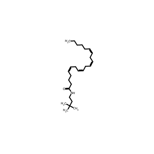 CCCCC/C=C\C/C=C\C/C=C\C/C=C\CCCC(=O)NCCC(C)(C)C